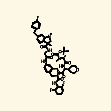 C[C@@H](C(=O)NC(C(=O)N1Cc2cc(NC(=O)CNC(=O)C3(C)CN(C)c4cc(Cc5ccc(F)cc5)ccc43)ccc2CC1C(=O)Nc1c(F)cccc1F)C1CCOCC1)N(C)C(=O)OC(C)(C)C